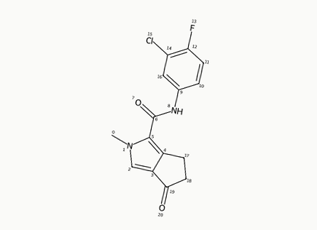 Cn1cc2c(c1C(=O)Nc1ccc(F)c(Cl)c1)CCC2=O